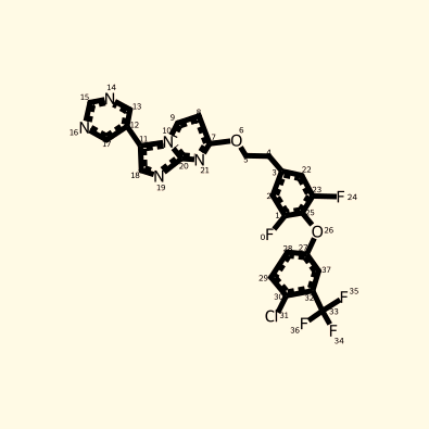 Fc1cc(CCOc2ccn3c(-c4cncnc4)cnc3n2)cc(F)c1Oc1ccc(Cl)c(C(F)(F)F)c1